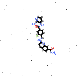 NC(=O)c1ccc2ccc(NCc3ccc(C(=O)Nc4cccnc4N)cc3F)nc2c1